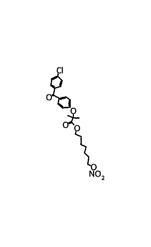 CC(C)(Oc1ccc(C(=O)c2ccc(Cl)cc2)cc1)C(=O)OCCCCCCCO[N+](=O)[O-]